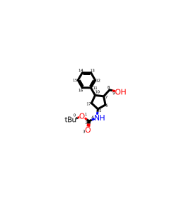 CC(C)(C)OC(=O)NC1CC(CO)C(c2ccccc2)C1